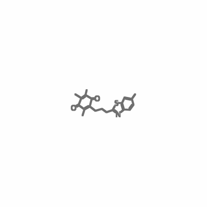 CC1=C(C)C(=O)C(CCCc2nc3ccc(C)cc3s2)=C(C)C1=O